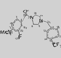 CNc1ccc(C(=O)N2CCN(Cc3ccc(C(F)(F)F)cc3)CC2)cc1F